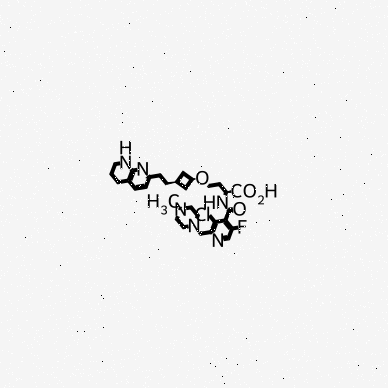 CN1CCN(Cc2ncc(F)c(C(=O)N[C@@H](CCO[C@H]3C[C@H](CCc4ccc5c(n4)NCCC5)C3)C(=O)O)c2Cl)CC1